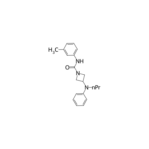 CCCN(c1ccccc1)C1CN(C(=O)Nc2cccc(C)c2)C1